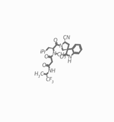 CC(C)C[C@@H](C(=O)N1C[C@]2(C[C@H]1C#N)C(=O)Nc1ccccc12)N(C)C(=O)CC(=O)N[C@H](C)C(F)(F)F